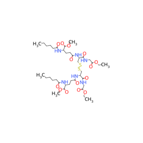 CCCCCC(=O)NC(CCC(=O)NC(CSSCC(NC(=O)CCC(NC(=O)CCCCC)C(=O)OC)C(=O)NCC(=O)OCC)C(=O)NCC(=O)OCC)C(=O)OC